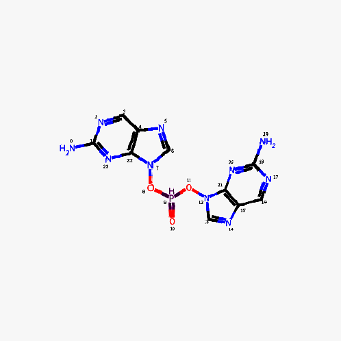 Nc1ncc2ncn(O[PH](=O)On3cnc4cnc(N)nc43)c2n1